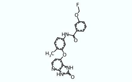 Cc1ccc(NC(=O)c2cccc(OCF)c2)cc1Oc1ccnc2[nH]c(=O)[nH]c12